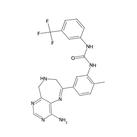 Cc1ccc(C2=Nc3c(N)ncnc3CNC2)cc1NC(=O)Nc1cccc(C(F)(F)F)c1